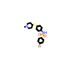 CN1CCC(Sc2ccc(NS(=O)(=O)c3ccc(Br)cc3)cc2)CC1